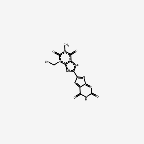 CC(C)Cn1c(=O)n(C)c(=O)c2[nH]c(C3=NC4=NC(=O)NC(=O)C4=N3)nc21